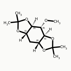 CO[C@@H]1[C@H]2OC(C)(C)O[C@@H]2C[C@@H]2OC(C)(C)O[C@@H]12